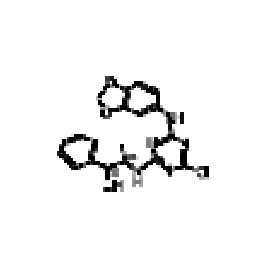 C[C@@H](Nc1nc(Cl)nc(Nc2ccc3c(c2)OCO3)n1)[C@@H](O)c1ccccc1